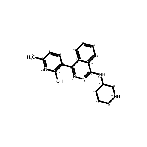 Cc1ccc(-c2nnc(NC3CCCNC3)c3ccccc23)c(O)n1